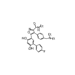 CCNC(=O)c1noc(-c2cc(-c3ccc(F)cc3)c(O)cc2O)c1-c1ccc(CN(CC)CC)cc1